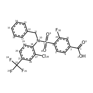 O=C(O)c1ccc(S(=O)(=O)N(Cc2ccccc2)c2ncc(C(F)(F)F)cc2Cl)c(F)c1